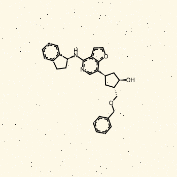 O[C@@H]1C[C@H](c2cnc(N[C@H]3CCc4ccccc43)c3ccoc23)C[C@H]1COCc1ccccc1